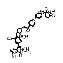 COc1cc(-c2cn(C)c(=O)c3[nH]ncc23)cc(Cl)c1CC1CCN(CC(=O)C2CCN(c3ccc(NC4CCC(=O)NC4=O)cc3)CC2)CC1